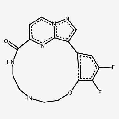 O=C1NCCNCCOc2cc(cc(F)c2F)-c2cnn3ccc1nc23